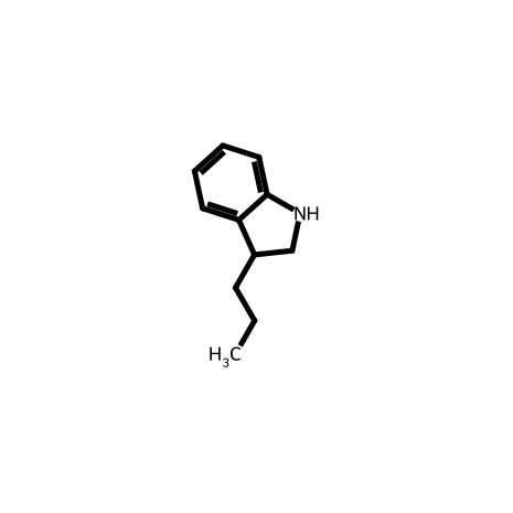 CCCC1CNc2ccccc21